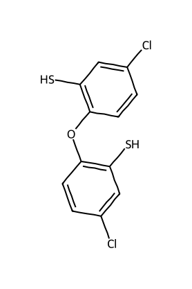 Sc1cc(Cl)ccc1Oc1ccc(Cl)cc1S